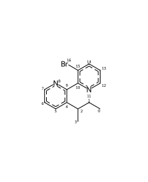 CCC(C)c1cccnc1-c1ncccc1Br